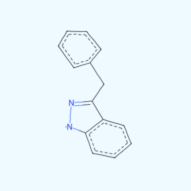 c1ccc(CC2=N[N]c3ccccc32)cc1